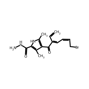 C=C/C(=C\C=C/CBr)C(=O)c1c(C)[nH]c(C(=O)NN)c1C